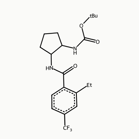 CCc1cc(C(F)(F)F)ccc1C(=O)NC1CCCC1NC(=O)OC(C)(C)C